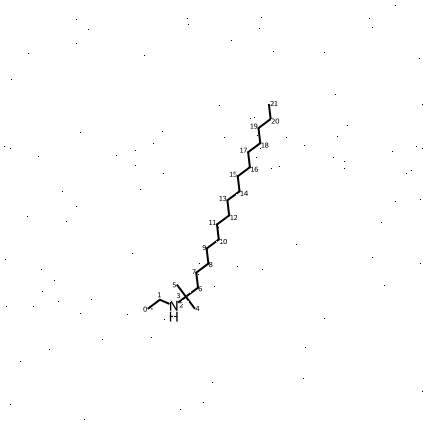 [CH2]CNC(C)(C)CCCCCCCCCCCCCCCC